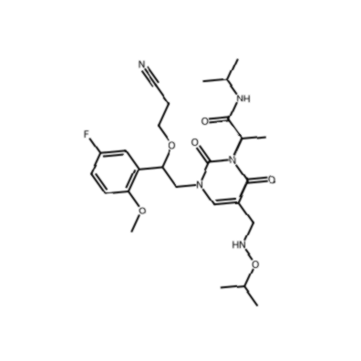 COc1ccc(F)cc1C(Cn1cc(CNOC(C)C)c(=O)n(C(C)C(=O)NC(C)C)c1=O)OCCC#N